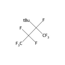 CC(C)(C)C(F)(C(F)(F)F)C(F)(F)C(F)(F)F